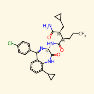 NC(=O)[C@@H](CC1CC1)[C@@H](CCC(F)(F)F)C(=O)N[C@H]1N=C(c2ccc(Cl)cc2)c2cccc(C3CC3)c2NC1=O